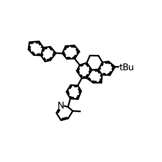 CC1C=CC=NC1c1ccc(-c2cc(-c3cccc(-c4ccc5ccccc5c4)c3)c3c4c2ccc2cc(C(C)(C)C)cc(c24)CC3)cc1